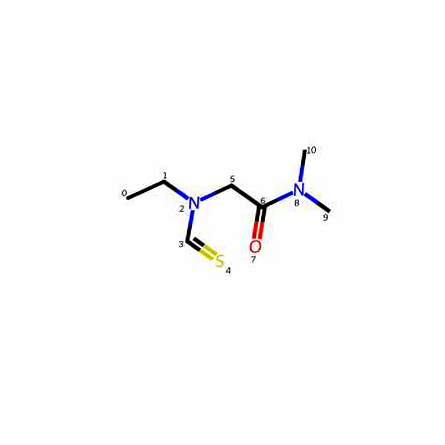 CCN(C=S)CC(=O)N(C)C